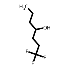 CCCC(O)CCC(F)(F)F